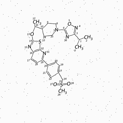 CC(C)c1noc(N2CCC(C(C)Oc3nc4ccc(-c5ccc(CS(C)(=O)=O)cc5)nc4s3)CC2)n1